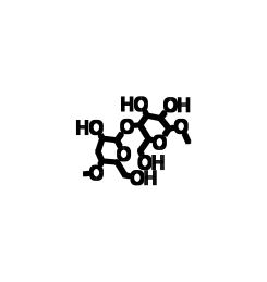 COC1CC(O)C(OC2C(CO)OC(OC)C(O)C2O)OC1CO